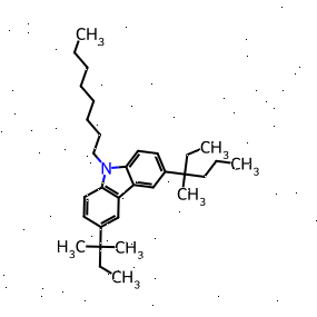 CCCCCCCCn1c2ccc(C(C)(C)CC)cc2c2cc(C(C)(CC)CCC)ccc21